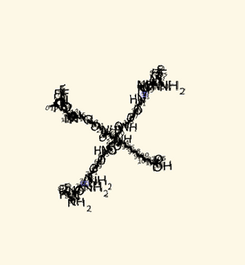 Cc1cc(C(F)(F)F)nc(OCc2cn(CCOCCOCCNC(=O)CCC(CCC(=O)NCCOCCOCCN/C=C(/COc3nc(N)cc(C(F)(F)F)n3)N=N)(CCC(=O)NCCOCCOCCN(N)/C=C(\N)COc3nc(N)cc(C(F)(F)F)n3)NC(=O)CCCCCCCCCCC(=O)O)nn2)n1